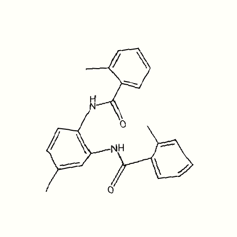 Cc1ccc(NC(=O)c2ccccc2C)c(NC(=O)c2ccccc2C)c1